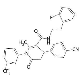 CC1=C(C(=O)NCCc2ccccc2F)C(c2ccc(C#N)cc2)CC(=O)N1c1cccc(C(F)(F)F)c1